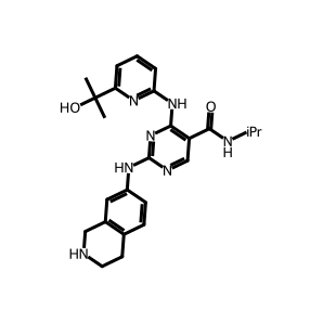 CC(C)NC(=O)c1cnc(Nc2ccc3c(c2)CNCC3)nc1Nc1cccc(C(C)(C)O)n1